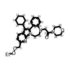 CCOOCc1ccc2c(C3CCCCC3)c3n(c2n1)CCN(CC(=O)N1CCOCC1)c1ccccc1-3